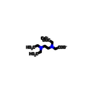 O=C([O-])CN(CCN(CC(=O)O)CC(=O)O)CC(=O)[O-].[Ca+2]